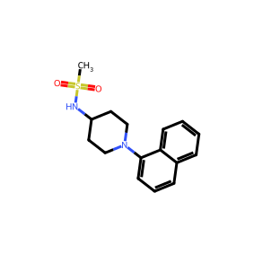 CS(=O)(=O)NC1CCN(c2cccc3ccccc23)CC1